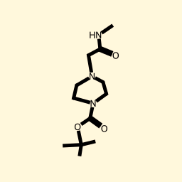 CNC(=O)CN1CCN(C(=O)OC(C)(C)C)CC1